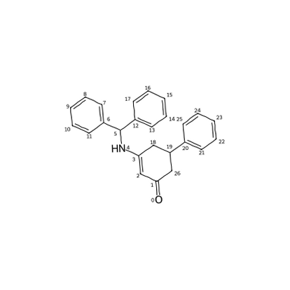 O=C1C=C(NC(c2ccccc2)c2ccccc2)CC(c2ccccc2)C1